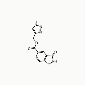 O=C(OCc1c[nH]nn1)c1ccc2c(c1)C(=O)NC2